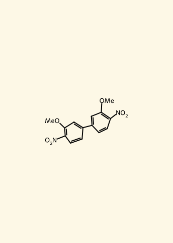 COc1cc(-c2ccc([N+](=O)[O-])c(OC)c2)ccc1[N+](=O)[O-]